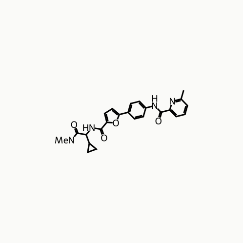 CNC(=O)C(NC(=O)c1ccc(-c2ccc(NC(=O)c3cccc(C)n3)cc2)o1)C1CC1